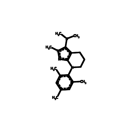 Cc1cc(C)c(N2CCCc3c2nn(C)c3N(C)C)c(C)c1